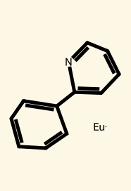 [Eu].c1ccc(-c2ccccn2)cc1